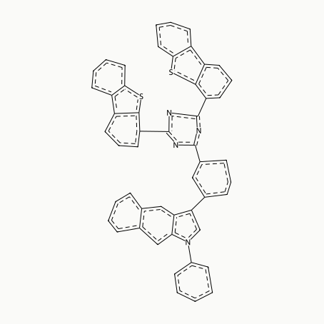 c1ccc(-n2cc(-c3cccc(-c4nc(-c5cccc6c5sc5ccccc56)nc(-c5cccc6c5sc5ccccc56)n4)c3)c3cc4ccccc4cc32)cc1